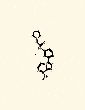 CNc1nccn2c(-c3cccc(NC(=O)CN4CCCC4)c3)cnc12